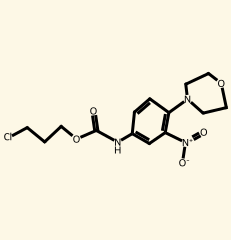 O=C(Nc1ccc(N2CCOCC2)c([N+](=O)[O-])c1)OCCCCl